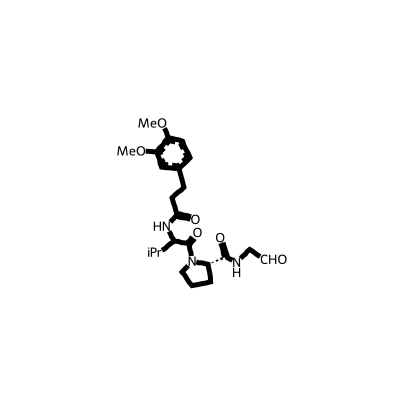 COc1ccc(CCC(=O)NC(C(=O)N2CCC[C@H]2C(=O)NCC=O)C(C)C)cc1OC